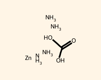 N.N.N.N.O=C(O)O.[Zn]